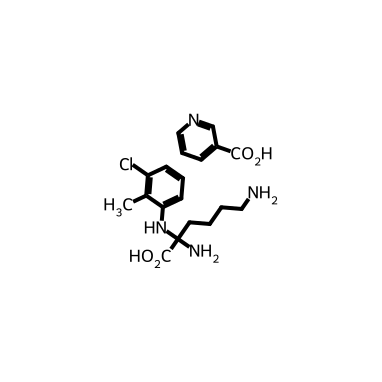 Cc1c(Cl)cccc1NC(N)(CCCCN)C(=O)O.O=C(O)c1cccnc1